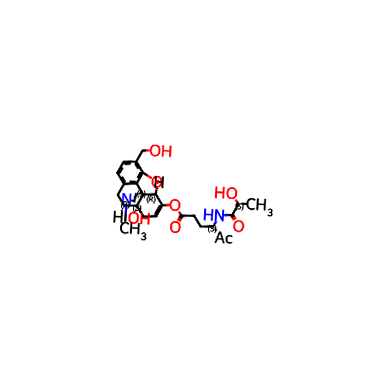 CC(=O)[C@H](CCC(=O)OC1=CC[C@@]2(O)[C@H]3Cc4ccc(CO)c5c4[C@@]2(CCN3C)[C@H]1O5)NC(=O)[C@H](C)O